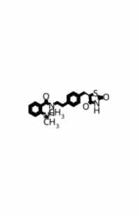 CN(C)c1ccccc1C(=O)NCCc1ccc(C[C@H]2SC(=O)NC2=O)cc1